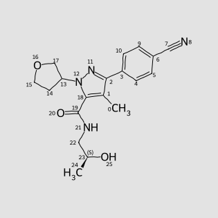 Cc1c(-c2ccc(C#N)cc2)nn(C2CCOC2)c1C(=O)NC[C@H](C)O